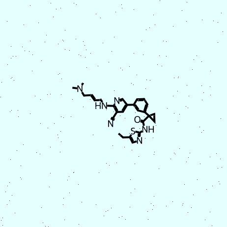 CCc1cnc(NC(=O)C2(c3cccc(-c4cnc(NCC=CCN(C)C)c(C#N)c4)c3)CC2)s1